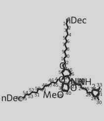 CCCCCCCCCCCCCCCCCCCCCCOc1ccc(C(NC(=O)[C@@H](N)CCCc2cc(C)cc(C)c2)c2ccc(OC)cc2)c(OCCCCCCCCCCCCCCCCCCCCCC)c1